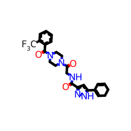 O=C(NCC(=O)N1CCN(C(=O)c2ccccc2C(F)(F)F)CC1)c1cc(C2=CCCC=C2)[nH]n1